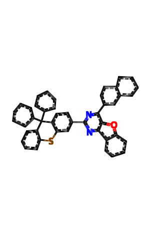 c1ccc(C2(c3ccccc3)c3ccccc3Sc3cc(-c4nc(-c5ccc6ccccc6c5)c5oc6ccccc6c5n4)ccc32)cc1